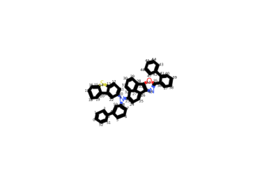 c1ccc(-c2cccc(N(c3ccc4sc5ccccc5c4c3)c3ccc4c5c(cccc35)-c3oc(-c5ccccc5-c5ccccc5)nc3-4)c2)cc1